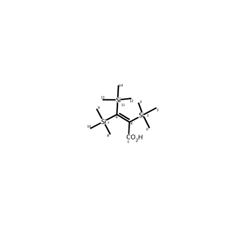 C[Si](C)(C)C(C(=O)O)=C([Si](C)(C)C)[Si](C)(C)C